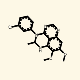 COc1cc2ncnc3c2c(c1OC)NC(C)N3c1cccc(Cl)c1